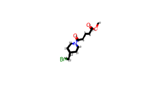 COC(=O)CCCC(=O)N1CCC(CBr)CC1